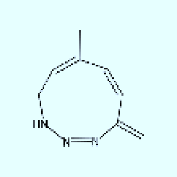 C=C1/C=C\C(C)=C/CN/N=N\1